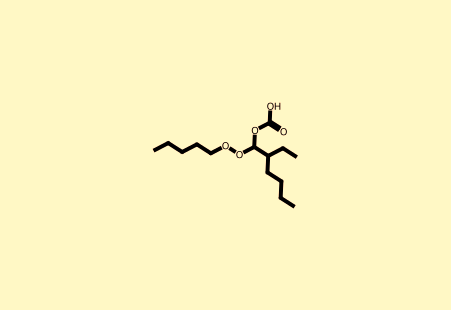 CCCCCOOC(OC(=O)O)C(CC)CCCC